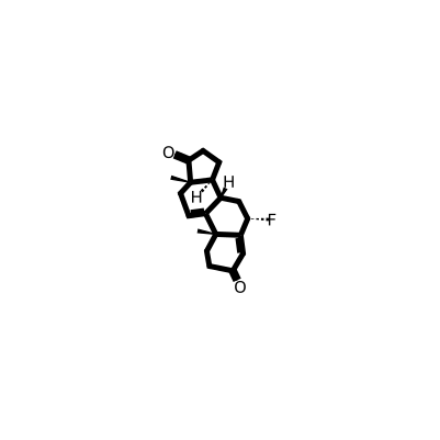 C[C@]12CCC(=O)C=C1[C@@H](F)C[C@@H]1C2=CC[C@]2(C)C(=O)CC[C@@H]12